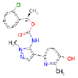 Cc1nc(-c2cnn(C)c2NC(=O)O[C@H](C)c2ccccc2Cl)ccc1O